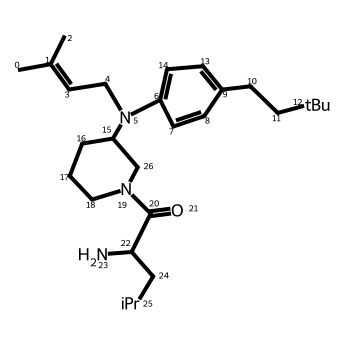 CC(C)=CCN(c1ccc(CCC(C)(C)C)cc1)C1CCCN(C(=O)C(N)CC(C)C)C1